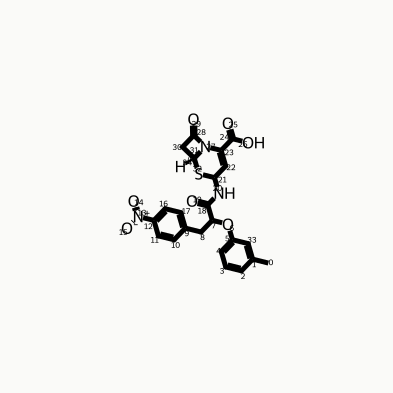 Cc1cccc(OC(Cc2ccc([N+](=O)[O-])cc2)C(=O)NC2C=C(C(=O)O)N3C(=O)C[C@H]3S2)c1